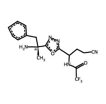 C[C@@](N)(Cc1ccccc1)c1nnc(C(CCC#N)NC(=O)C(F)(F)F)o1